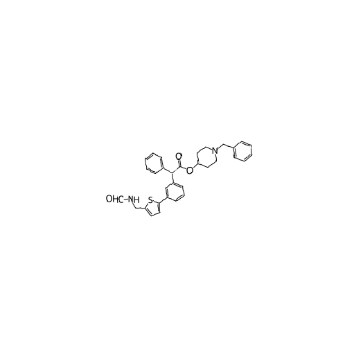 O=CNCc1ccc(-c2cccc(C(C(=O)OC3CCN(Cc4ccccc4)CC3)c3ccccc3)c2)s1